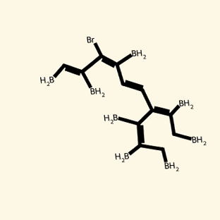 B/C=C(B)/C(Br)=C(B)\C=C\C(=C(/B)CB)C(\B)=C(\B)CB